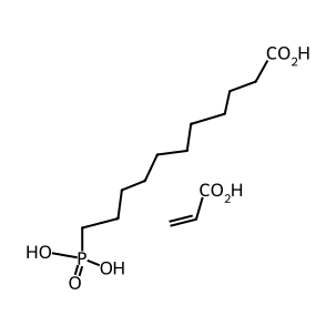 C=CC(=O)O.O=C(O)CCCCCCCCCCP(=O)(O)O